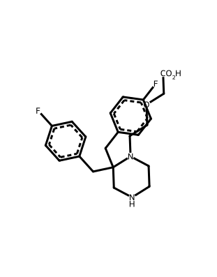 O=C(O)COCCN1CCNCC1(Cc1ccc(F)cc1)Cc1ccc(F)cc1